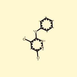 Clc1cc(Cl)c(Oc2ccccc2)nn1